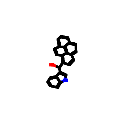 OC(c1c[nH]c2ccccc12)c1ccc2ccc3cccc4ccc1c2c34